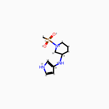 CS(=O)(=O)N1CCCC(Nc2cc[nH]c2)C1